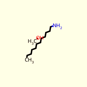 CCCCCCCCCCCCN.CO